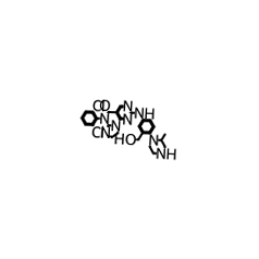 CC1CNCCN1c1ccc(Nc2ncc3c(n2)N2CCN=C2N(c2c(Cl)cccc2Cl)C3=O)cc1CO